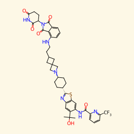 CC(C)(O)c1cc2nc([C@H]3CC[C@H](N4CC5(CC(CCNc6cccc7c6C(=O)N(C6CCC(=O)NC6=O)C7=O)C5)C4)CC3)sc2cc1NC(=O)c1cccc(C(F)(F)F)n1